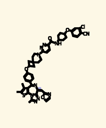 Cc1sc2c(c1C)C(c1ccc(OC3CC4(CCN(c5ccc(C(=O)NC6CCC(Oc7ccc(C#N)c(Cl)c7)CC6)nn5)CC4)C3)cc1)=N/C(=C/c1ncco1)c1nnc(C)n1-2